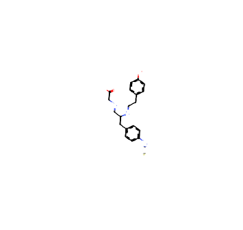 O=C(O)CNCC(Cc1ccc(N=C=S)cc1)NCCc1ccc(O)cc1